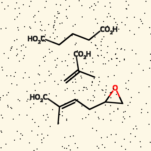 C=C(C)C(=O)O.CC(=CCC1CO1)C(=O)O.O=C(O)CCCC(=O)O